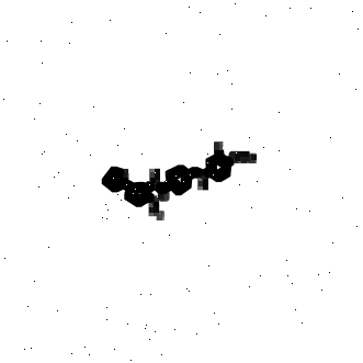 COc1ccc(NCc2ccc(C(=O)Nc3cc(-c4cccs4)ccc3N)cc2)cc1F